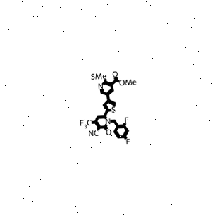 COC(=O)c1cc(-c2csc(-c3cc(C(F)(F)F)c(C#N)c(=O)n3Cc3ccc(F)cc3F)c2)cnc1SC